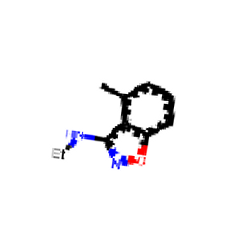 CCNc1noc2cccc(C)c12